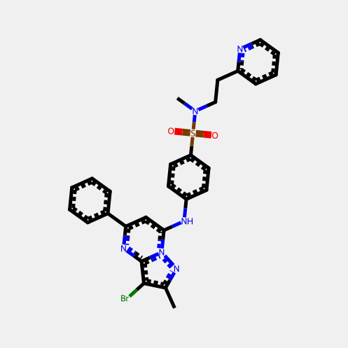 Cc1nn2c(Nc3ccc(S(=O)(=O)N(C)CCc4ccccn4)cc3)cc(-c3ccccc3)nc2c1Br